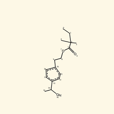 CCC(C)(C)C(=O)OCCc1ccc(C(C)O)cc1